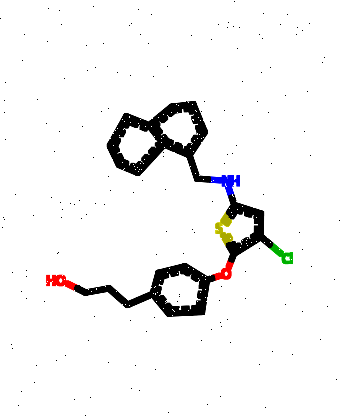 OCCCc1ccc(Oc2sc(NCc3cccc4ccccc34)cc2Cl)cc1